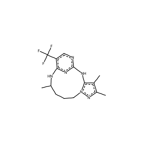 Cc1nn2c(c1C)Nc1ncc(C(F)(F)F)c(n1)NC(C)CCC2